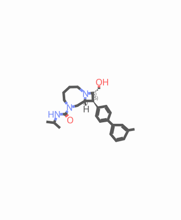 Cc1cccc(-c2ccc([C@@H]3[C@@H](CO)N4CCCCN(C(=O)NC(C)C)C[C@@H]34)cc2)c1